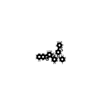 c1ccc(N(c2ccc3c(c2)sc2ccccc23)c2cccc3c2sc2ccc4c5cc6ccccc6cc5oc4c23)cc1